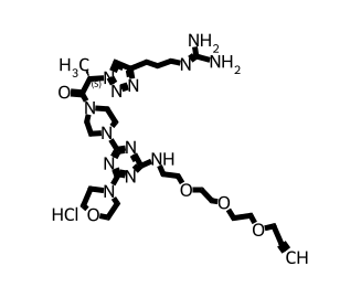 C#CCOCCOCCOCCNc1nc(N2CCOCC2)nc(N2CCN(C(=O)[C@H](C)n3cc(CCCN=C(N)N)nn3)CC2)n1.Cl